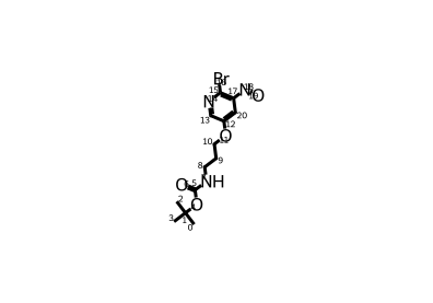 CC(C)(C)OC(=O)NCCCOc1cnc(Br)c(N=O)c1